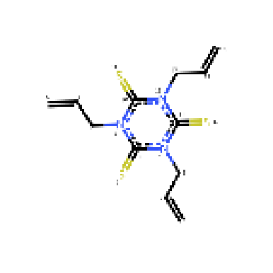 C=CCn1c(=S)n(CC=C)c(=S)n(CC=C)c1=S